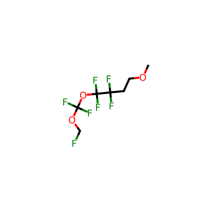 COCCC(F)(F)C(F)(F)OC(F)(F)OCF